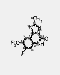 Cc1nc2c3cc(C(F)(F)F)c(F)cc3[nH]c(=O)n2n1